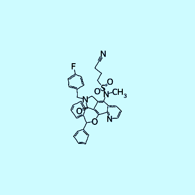 CN(c1c2c(c(OC(c3ccccc3)c3ccccc3)c3ncccc13)C(=O)N(Cc1ccc(F)cc1)C2)S(=O)(=O)CCCC#N